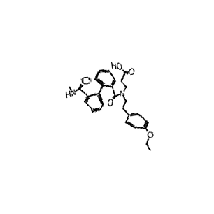 CCOc1ccc(CCN(CCC(=O)O)C(=O)c2ccccc2-c2ccccc2C(=O)NC)cc1